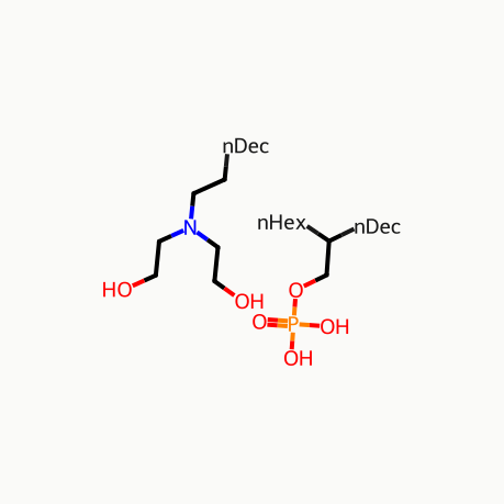 CCCCCCCCCCC(CCCCCC)COP(=O)(O)O.CCCCCCCCCCCCN(CCO)CCO